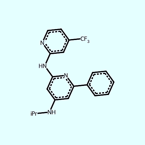 CC(C)Nc1cc(Nc2cc(C(F)(F)F)ccn2)nc(-c2ccccc2)c1